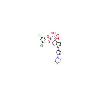 O=P(O)(O)CN(c1ccc2c(ccn2-c2ccc(N3CCSCC3)nn2)c1)S(=O)(=O)c1cc(Cl)cc(Cl)c1